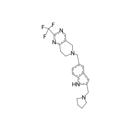 FC(F)(F)c1ncc2c(n1)CCN(Cc1ccc3[nH]c(CN4CCCC4)cc3c1)C2